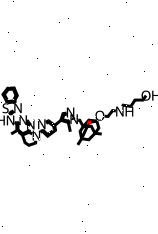 Cc1c(Nc2nc3ccccc3s2)nnc2c1CCCN2c1ccc(-c2cnn(CC34CC5(C)CC(C)(C3)CC(OCCNCCCCO)(C5)C4)c2C)cn1